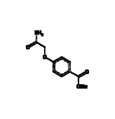 COC(=O)c1ccc(OCC(N)=O)cc1